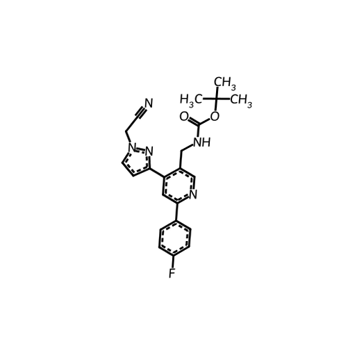 CC(C)(C)OC(=O)NCc1cnc(-c2ccc(F)cc2)cc1-c1ccn(CC#N)n1